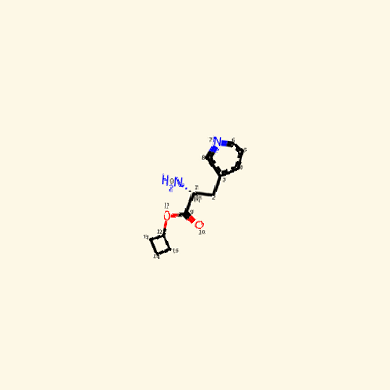 N[C@H](Cc1cccnc1)C(=O)OC1CCC1